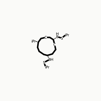 CC(C)SB[C@@H]1CCC[C@H](BSC(C)C)CCC[C@H](C(C)C)CCC1